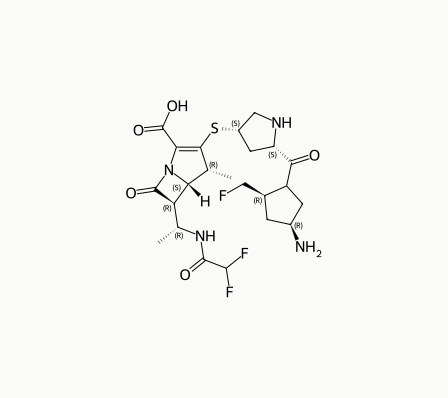 C[C@@H](NC(=O)C(F)F)[C@H]1C(=O)N2C(C(=O)O)=C(S[C@@H]3CN[C@H](C(=O)C4C[C@@H](N)C[C@H]4CF)C3)[C@H](C)[C@H]12